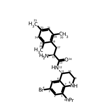 CCCc1cc(Br)cc2c1NCC[C@H]2NC(=O)[C@@H](N)Cc1c(C)cc(C)cc1C